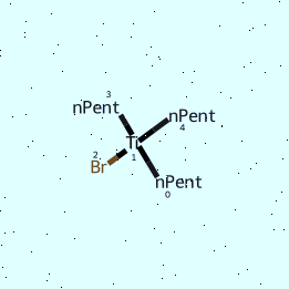 CCCC[CH2][Ti]([Br])([CH2]CCCC)[CH2]CCCC